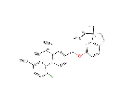 COc1ccc(F)c(-c2ccc(COc3ccc4c(c3)[C@]3(CC4)CC[C@@H]3C=O)cc2[C@@H](OC)C(C)(C)C)c1